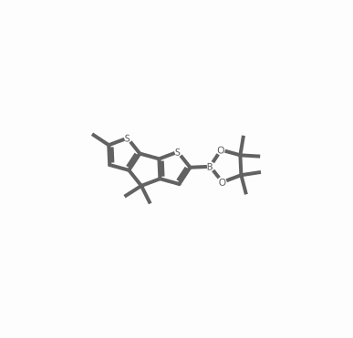 Cc1cc2c(s1)-c1sc(B3OC(C)(C)C(C)(C)O3)cc1C2(C)C